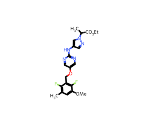 CCOC(=O)C(C)n1cc(Nc2ncc(OCc3c(F)c(C)cc(OC)c3F)cn2)cn1